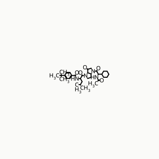 CC(=O)NC(C(=O)N1CC(=O)C2C1CCN2C(=O)C(CC(C)C)NC(=O)c1ccc(C(C)(C)C)cc1)C1CCCCC1